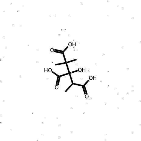 CC(C(=O)O)C(O)(C(=O)O)C(C)(C)C(=O)O